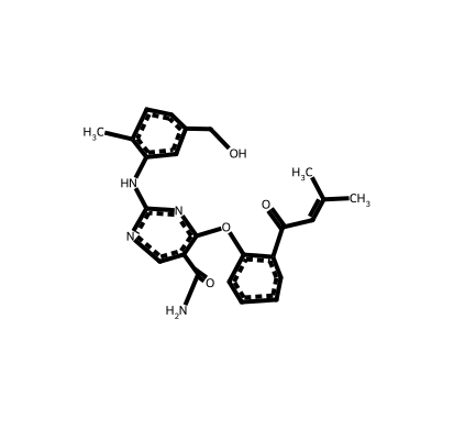 CC(C)=CC(=O)c1ccccc1Oc1nc(Nc2cc(CO)ccc2C)ncc1C(N)=O